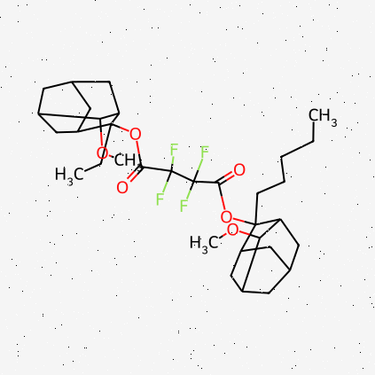 CCCCCC1(OC(=O)C(F)(F)C(F)(F)C(=O)OC2(CC)C3CC4CC(C3)C(OC)C2C4)C2CC3CC(C2)C(OC)C1C3